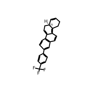 FC(F)(F)c1ccc(-c2ccc3c4c(ccc3c2)=C2CCC=C[C@@H]2CC=4)cc1